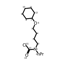 CCCN(CCCCOC1CCCCC1)C(=O)Cl